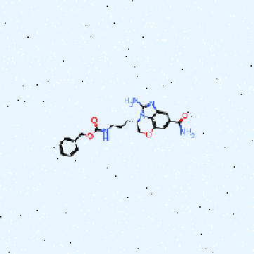 NC(=O)c1cc2c3c(c1)nc(N)n3[C@@H](CCCNC(=O)OCc1ccccc1)CO2